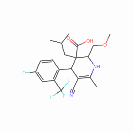 COCC1NC(C)=C(C#N)C(c2ccc(F)cc2C(F)(F)F)C1(CC(C)C)C(=O)O